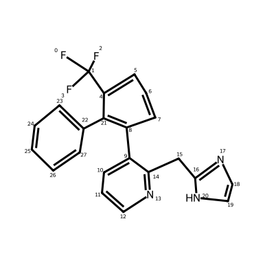 FC(F)(F)c1cccc(-c2cccnc2Cc2ncc[nH]2)c1-c1ccccc1